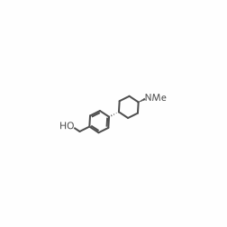 CN[C@H]1CC[C@H](c2ccc(CO)cc2)CC1